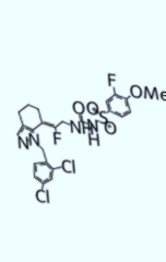 COc1ccc(S(=O)(=O)NC(=O)NCC(F)=C2CCCc3cnn(Cc4ccc(Cl)cc4Cl)c32)cc1F